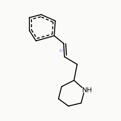 C(=C\c1ccccc1)/CC1CCCCN1